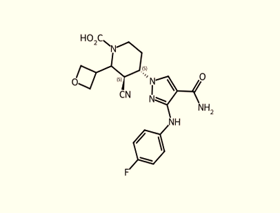 N#C[C@H]1C(C2COC2)N(C(=O)O)CC[C@@H]1n1cc(C(N)=O)c(Nc2ccc(F)cc2)n1